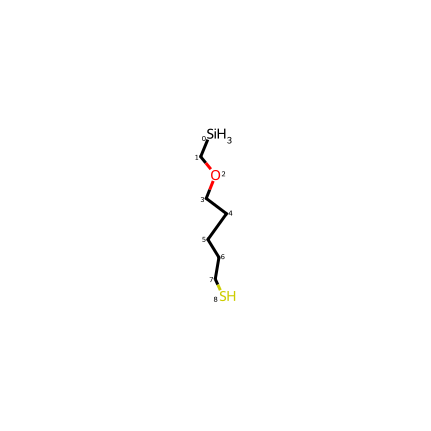 [SiH3]COCCCCCS